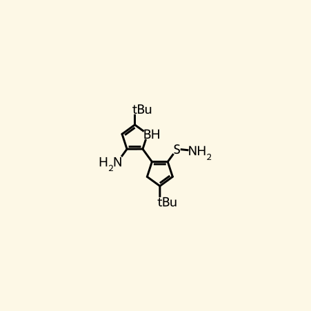 CC(C)(C)C1=CC(N)=C(C2=C(SN)C=C(C(C)(C)C)C2)B1